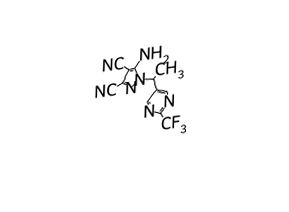 CC(c1cnc(C(F)(F)F)nc1)n1nc(C#N)c(C#N)c1N